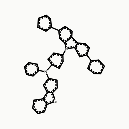 c1ccc(-c2ccc3c4ccc(-c5ccccc5)cc4n(-c4ccc(N(c5ccccc5)c5ccc6sc7ccccc7c6c5)cc4)c3c2)cc1